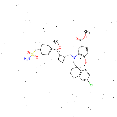 COC(=O)c1ccc2c(c1)N(C[C@@H]1CC[C@H]1[C@H](OC)C1=CC[C@H](CS(N)(=O)=O)CC1)CC1(CCCc3cc(Cl)ccc31)CO2